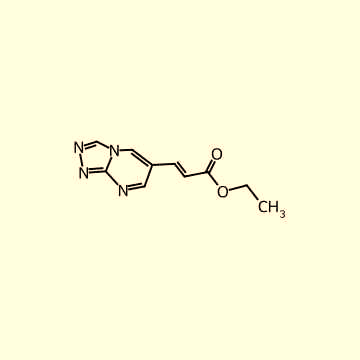 CCOC(=O)/C=C/c1cnc2nncn2c1